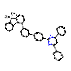 CCC1(C)c2ccccc2-c2c(-c3cccc(-c4ccc(-c5nc(-c6ccccc6)cc(-c6ccccc6)n5)cc4)c3)cccc21